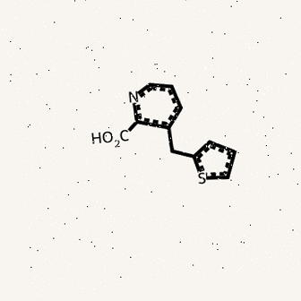 O=C(O)c1ncccc1Cc1cccs1